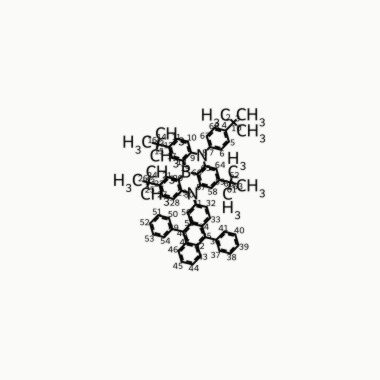 CC(C)(C)c1ccc(N2c3ccc(C(C)(C)C)cc3B3c4cc(C(C)(C)C)ccc4N(c4ccc5c(-c6ccccc6)c6ccccc6c(-c6ccccc6)c5c4)c4cc(C(C)(C)C)cc2c43)cc1